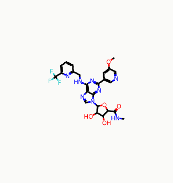 CNC(=O)C1OC(n2cnc3c(NCc4cccc(C(F)(F)F)n4)nc(-c4cncc(OC)c4)nc32)C(O)C1O